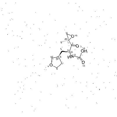 C[C@]1(C(=O)[C@H](C[C@H]2CCOC2)NC(=O)O)CO1